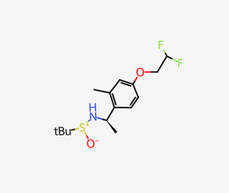 Cc1cc(OCC(F)F)ccc1[C@@H](C)N[S+]([O-])C(C)(C)C